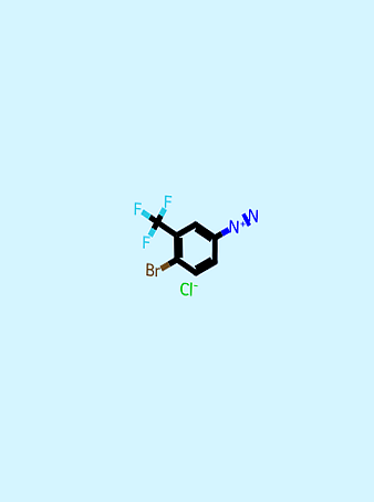 N#[N+]c1ccc(Br)c(C(F)(F)F)c1.[Cl-]